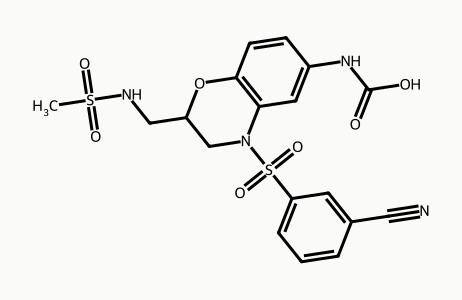 CS(=O)(=O)NCC1CN(S(=O)(=O)c2cccc(C#N)c2)c2cc(NC(=O)O)ccc2O1